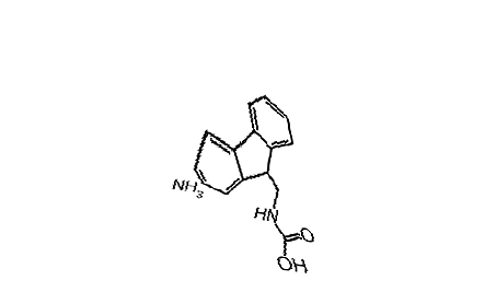 N.O=C(O)NCC1c2ccccc2-c2ccccc21